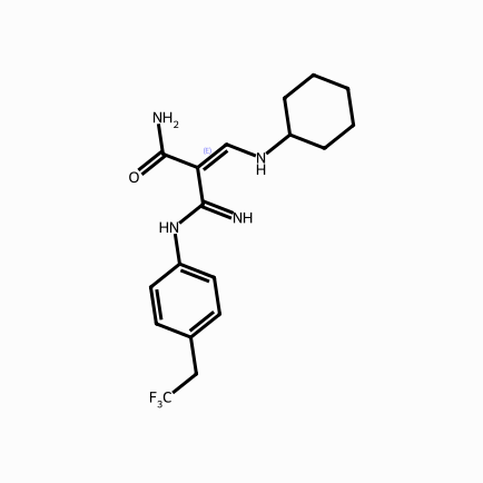 N=C(Nc1ccc(CC(F)(F)F)cc1)/C(=C\NC1CCCCC1)C(N)=O